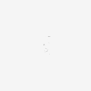 CC(C)(C(=O)Nc1cc(C2(COC3CCCCO3)CCCC2)no1)S(=O)(=O)CC1CCC1